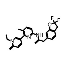 C=C(Cc1ccc2c(c1)OC(F)(F)C2)Nc1ccc(C)c(C2=CN(CC)C(=C)C=C2)n1